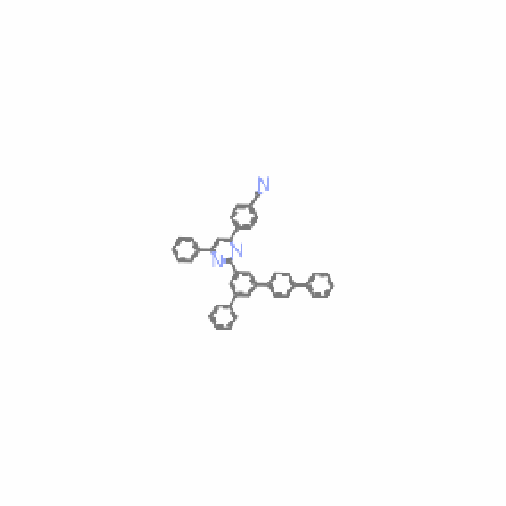 N#Cc1ccc(-c2cc(-c3ccccc3)nc(-c3cc(-c4ccccc4)cc(-c4ccc(-c5ccccc5)cc4)c3)n2)cc1